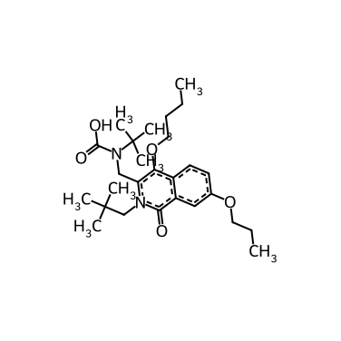 CCCCOc1c(CN(C(=O)O)C(C)(C)C)n(CC(C)(C)C)c(=O)c2cc(OCCC)ccc12